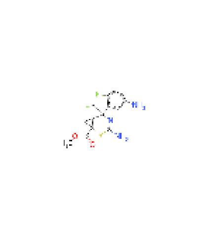 COC(=O)C12CC1C(CF)(c1cc(N)ccc1F)N=C(N)S2